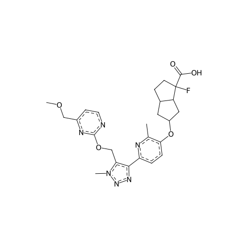 COCc1ccnc(OCc2c(-c3ccc(OC4CC5CCC(F)(C(=O)O)C5C4)c(C)n3)nnn2C)n1